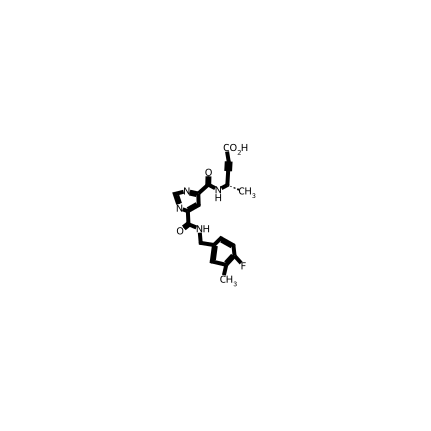 Cc1cc(CNC(=O)c2cc(C(=O)N[C@@H](C)C#CC(=O)O)ncn2)ccc1F